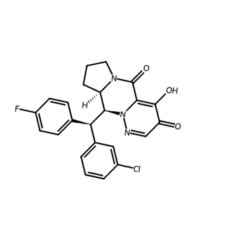 O=C1c2c(O)c(=O)cnn2[C@@H]([C@H](c2ccc(F)cc2)c2cccc(Cl)c2)[C@H]2CCCN12